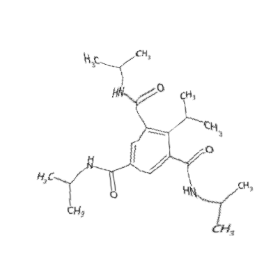 CC(C)NC(=O)c1cc(C(=O)NC(C)C)c(C(C)C)c(C(=O)NC(C)C)c1